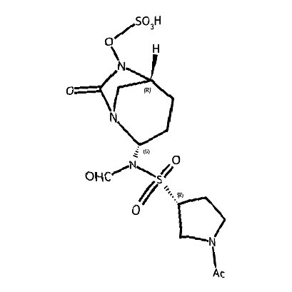 CC(=O)N1CC[C@@H](S(=O)(=O)N(C=O)[C@H]2CC[C@@H]3CN2C(=O)N3OS(=O)(=O)O)C1